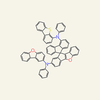 c1ccc(N(c2ccc3c(c2)C2(c4ccccc4-c4c(N(c5ccccc5)c5cccc6c5sc5ccccc56)cccc42)c2c-3oc3ccccc23)c2ccc3oc4ccccc4c3c2)cc1